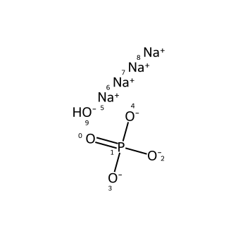 O=P([O-])([O-])[O-].[Na+].[Na+].[Na+].[Na+].[OH-]